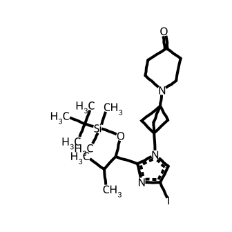 CC(C)C(O[Si](C)(C)C(C)(C)C)c1nc(I)cn1C12CC(N3CCC(=O)CC3)(C1)C2